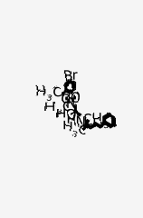 CCc1cc(Br)ccc1S(=O)(=O)N(C)C[C@H](O)CNC(C)(C)CCCc1ccccc1